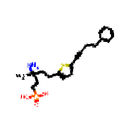 CC(N)(CCc1ccc(C#CCCc2ccccc2)s1)CCP(=O)(O)O